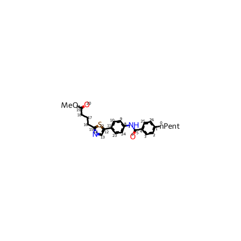 CCCCCc1ccc(C(=O)Nc2ccc(-c3cnc(CCCC(=O)OC)s3)cc2)cc1